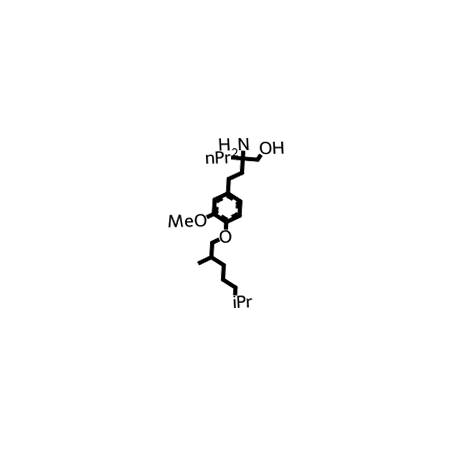 CCCC(N)(CO)CCc1ccc(OCC(C)CCCC(C)C)c(OC)c1